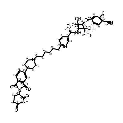 CC1(C)C(NC(=O)c2ccc(CCCCCCN3CCC(c4ccc5c(c4)C(=O)N(C4CCC(=O)NC4=O)C5=O)CC3)nc2)C(C)(C)C1Oc1ccc(C#N)c(Cl)c1